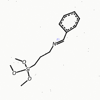 CO[Si](CCC/N=C/c1ccccc1)(OC)OC